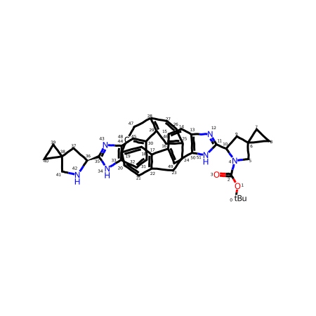 CC(C)(C)OC(=O)N1CC2(CC2)CC1c1nc2ccc(-c3cc4ccc3CCc3ccc(c(-c5ccc6[nH]c([C@@H]7CC8(CC8)CN7)nc6c5)c3)CC4)cc2[nH]1